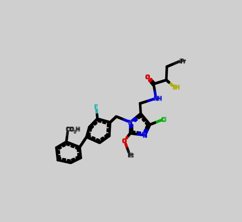 CCOc1nc(Cl)c(CNC(=O)C(S)CC(C)C)n1Cc1ccc(-c2ccccc2C(=O)O)cc1F